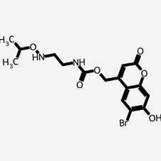 CC(C)ONCCNC(=O)OCc1cc(=O)oc2cc(O)c(Br)cc12